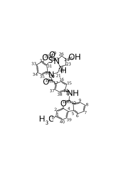 Cc1ccc(-c2ccccc2C(=O)Nc2ccc(C(=O)N3C[C@H]4C[C@@H](O)CN4S(=O)(=O)c4ccccc43)cc2)cc1